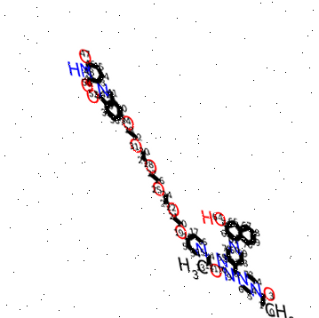 C=CC(=O)N1CCN(c2nc(O[C@H](C)CN3CCC(OCCOCCOCCOCCOCCOc4ccc5c(c4)CN(C4CCC(=O)NC4=O)C5=O)CC3)nc3c2CCN(c2cc(O)cc4ccccc24)C3)CC1